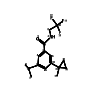 CC(C)c1cc(C(=O)NCC(F)(F)F)cc(C2(C)CC2)c1